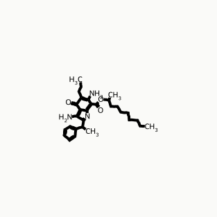 CCCCCCCCC(C)OC(=O)C1=C2N=C(C(C)c3ccccc3)C(N)=C2C(=O)C(CCC)=C1N